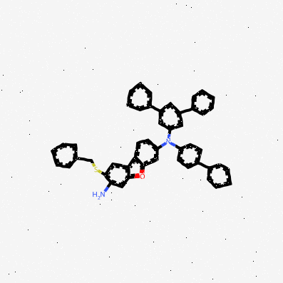 Nc1cc2oc3cc(N(c4ccc(-c5ccccc5)cc4)c4cc(-c5ccccc5)cc(-c5ccccc5)c4)ccc3c2cc1SCc1ccccc1